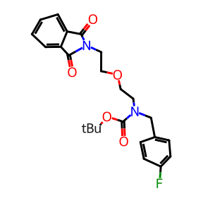 CC(C)(C)OC(=O)N(CCOCCN1C(=O)c2ccccc2C1=O)Cc1ccc(F)cc1